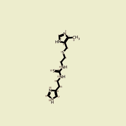 Cc1nc[nH]c1CSCCNC(=S)NCCc1c[nH]cn1